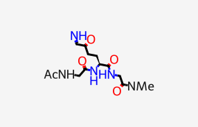 CNC(=O)CNC(=O)[C@H](CCC(=O)C=N)NC(=O)CNC(C)=O